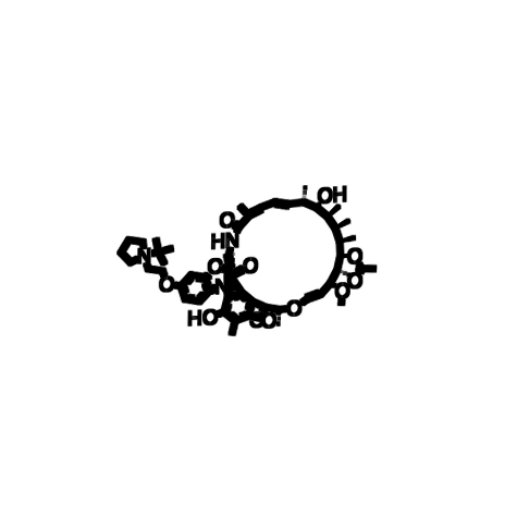 CO[C@H]1/C=C/O[C@@]2(C)Oc3c(C)c(O)c4c(=O)c(c5oc6cc(OCC[N+]7(C(C)(C)C)CCCC7)ccc6nc-5c4c3C2=O)NC(=O)/C(C)=C\C=C\[C@H](C)[C@H](O)[C@@H](C)[C@@H](C)[C@@H](C)[C@H](OC(C)=O)[C@@H]1C